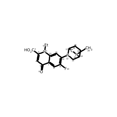 CCn1c(C(=O)O)cc(=O)c2cc(F)c(N3CC4CCC3CN4C)cc21